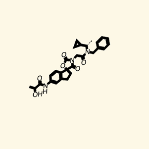 CC(O)C(=O)Nc1ccc2c(c1)CCC21OC(=O)N(CC(=O)N(Cc2ccccc2)[C@@H](C)C2CC2)C1=O